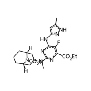 CCOC(=O)c1nc(N(C)C2C[C@H]3CCC[C@@H](C2)N3C(=O)O)nc(Nc2cc(C)[nH]n2)c1F